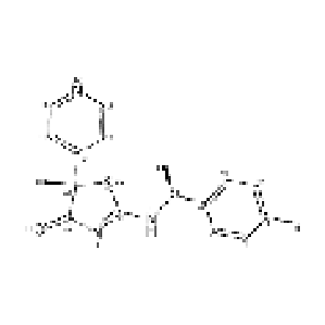 Cc1ccc([C@H](C)NC2=NC(=O)[C@](C)(c3ccncc3)S2)cc1